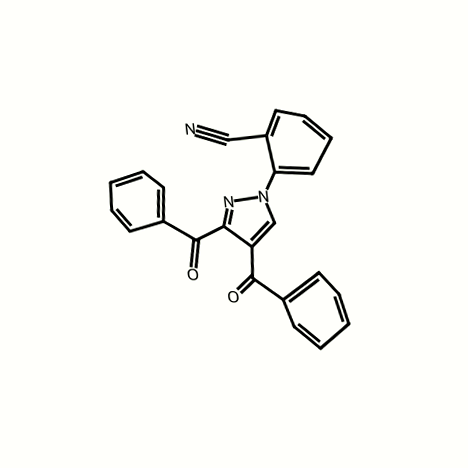 N#Cc1ccccc1-n1cc(C(=O)c2ccccc2)c(C(=O)c2ccccc2)n1